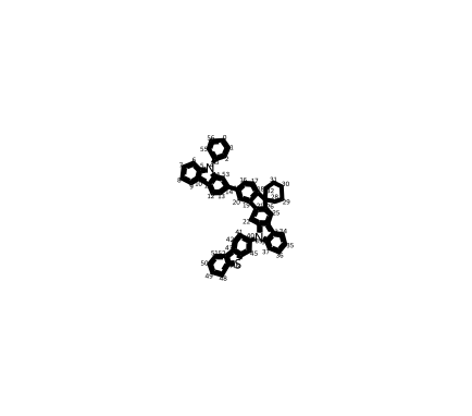 c1ccc(-n2c3ccccc3c3ccc(-c4ccc5c(c4)-c4cc6c(cc4C54CCCCC4)c4ccccc4n6-c4ccc5c(c4)sc4ccccc45)cc32)cc1